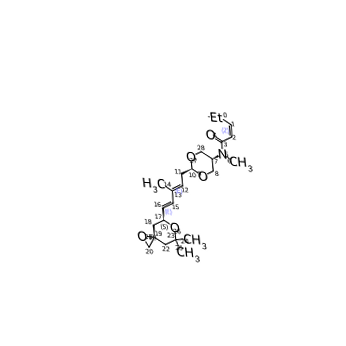 C[CH]/C=C\C(=O)N(C)[C@H]1CO[C@@H](C/C=C(C)/C=C/[C@@H]2C[C@]3(CO3)CC(C)(C)O2)OC1